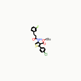 CC(C)(C)OC(=O)c1c(NC(=O)CCc2cccc(F)c2)csc1-c1ccc(Cl)cc1